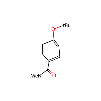 CNC(=O)c1ccc(OC(C)(C)C)cc1